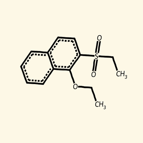 CCOc1c(S(=O)(=O)CC)ccc2ccccc12